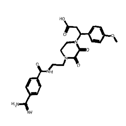 COc1ccc(C(CC(=O)O)N2CCN(CCNC(=O)c3ccc(C(=N)N)cc3)C(=O)C2=O)cc1